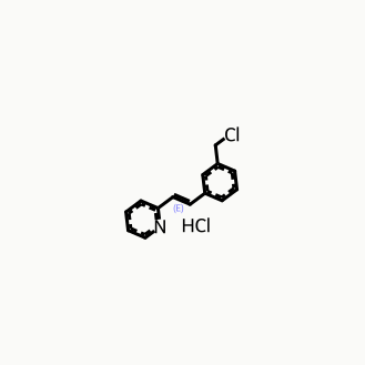 Cl.ClCc1cccc(/C=C/c2ccccn2)c1